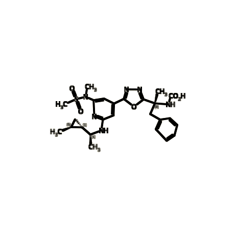 C[C@H](Nc1cc(-c2nnc([C@@](C)(Cc3ccccc3)NC(=O)O)o2)cc(N(C)S(C)(=O)=O)n1)[C@H]1C[C@@H]1C